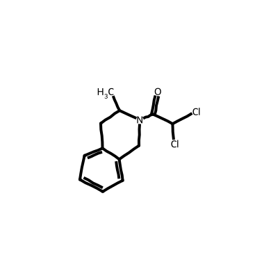 CC1Cc2ccccc2CN1C(=O)C(Cl)Cl